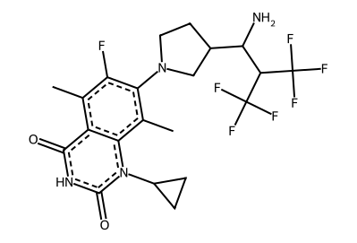 Cc1c(F)c(N2CCC(C(N)C(C(F)(F)F)C(F)(F)F)C2)c(C)c2c1c(=O)[nH]c(=O)n2C1CC1